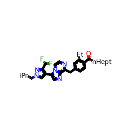 CCCCCCCC(=O)c1ccc(Cc2nccn3c(-c4cn(CC(C)C)nc4C(F)F)cnc23)cc1CC